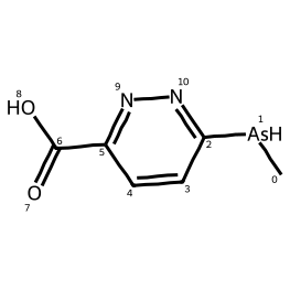 C[AsH]c1ccc(C(=O)O)nn1